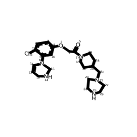 O=C(COc1ccc(Cl)c(N2C=CCNC2)c1)N1CCC(CN2CCNCC2)CC1